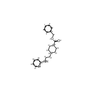 O=C(OCc1ccccc1)N1CCN(CCNc2ccccn2)CC1